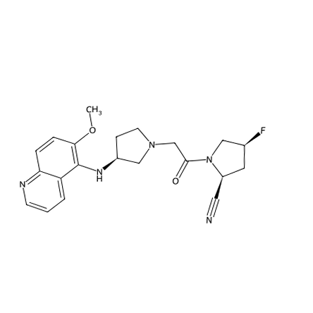 COc1ccc2ncccc2c1N[C@H]1CCN(CC(=O)N2C[C@@H](F)C[C@H]2C#N)C1